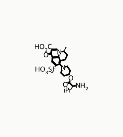 CC(C)[C@H](N)C(=O)OC1CCN(c2c(F)cc3c(=O)c(C(=O)O)cn4c3c2CC[C@@H]4C)CC1.CS(=O)(=O)O